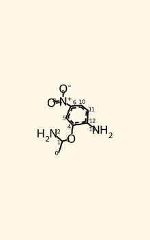 CC(N)Oc1cc([N+](=O)[O-])ccc1N